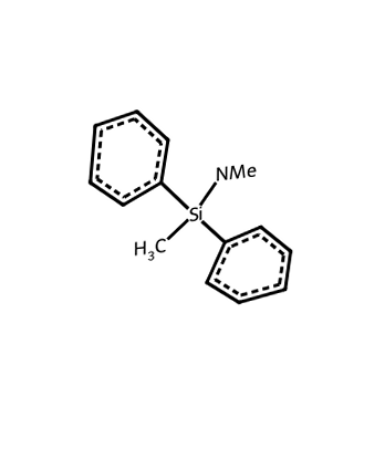 CN[Si](C)(c1ccccc1)c1ccccc1